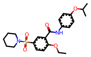 CCOc1ccc(S(=O)(=O)N2CCCCC2)cc1C(=O)Nc1ccc(OC(C)C)cc1